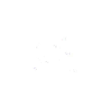 COc1ccc2c3c([nH]c2c1)[C@@H](CO)N(Cc1cccc(F)c1)CC31CCN(Cc2ccccn2)CC1